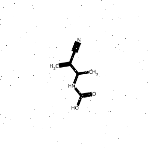 C=C(C#N)C(C)NC(=O)O